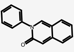 O=c1cc2ccccc2cn1-c1ccccc1